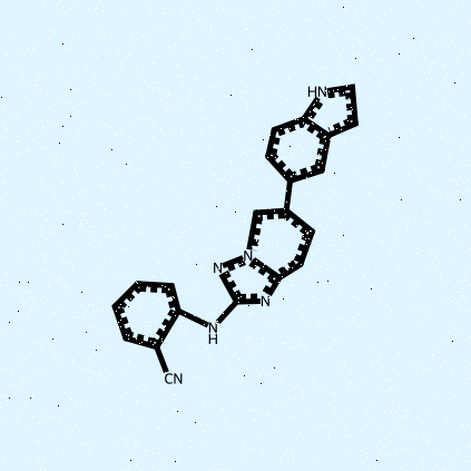 N#Cc1ccccc1Nc1nc2ccc(-c3ccc4[nH]ccc4c3)cn2n1